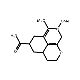 COC1=C2CC(C(N)=O)CC3CCOC(=C23)CN1OC